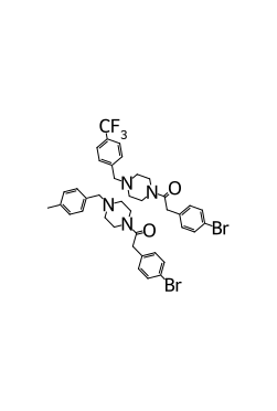 Cc1ccc(CN2CCN(C(=O)Cc3ccc(Br)cc3)CC2)cc1.O=C(Cc1ccc(Br)cc1)N1CCN(Cc2ccc(C(F)(F)F)cc2)CC1